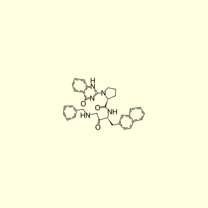 O=C(CNCc1ccccc1)[C@H](Cc1ccc2ccccc2c1)NC(=O)[C@@H]1CCCN1c1nc(=O)c2ccccc2[nH]1